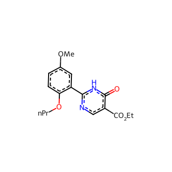 CCCOc1ccc(OC)cc1-c1ncc(C(=O)OCC)c(=O)[nH]1